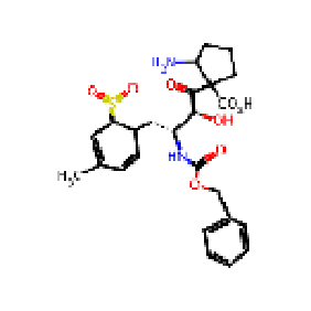 CC1=CC(=S(=O)=O)C(C[C@@H](NC(=O)OCc2ccccc2)[C@H](O)C(=O)C2(C(=O)O)CCCC2N)C=C1